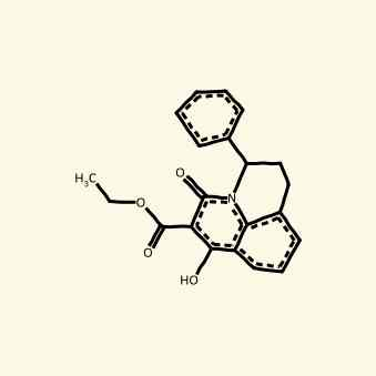 CCOC(=O)c1c(O)c2cccc3c2n(c1=O)C(c1ccccc1)CC3